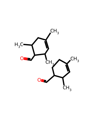 CC1=CC(C)C(C=O)C(C)C1.CC1=CC(C)C(C=O)CC1